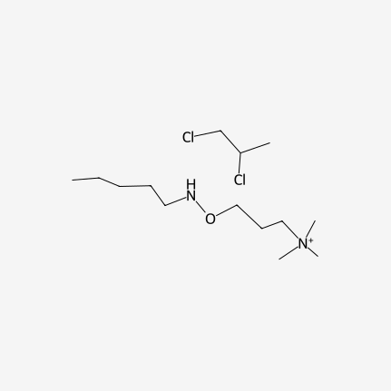 CC(Cl)CCl.CCCCCNOCCC[N+](C)(C)C